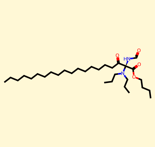 CCCCCCCCCCCCCCCCCC(=O)[C@](NC=O)(C(=O)OCCCC)N(CCC)CCC